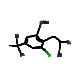 CCC(CC)Cc1c(F)cc(C(C)(CC)CC)cc1OC